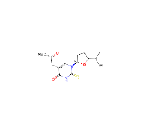 COC(=O)Cc1cn([C@H]2CCC(C(C)C(C)C)O2)c(=S)[nH]c1=O